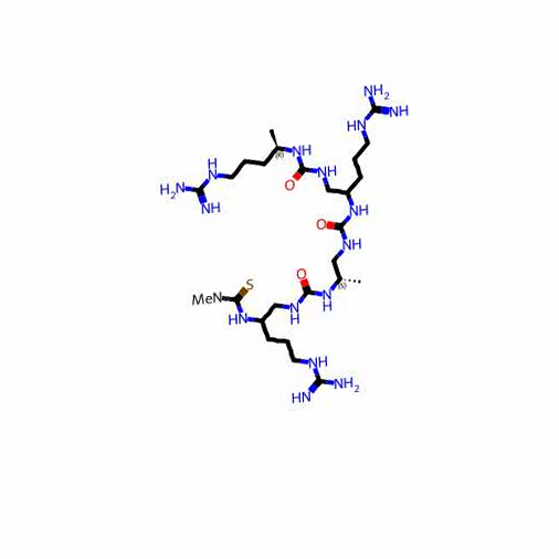 CNC(=S)NC(CCCNC(=N)N)CNC(=O)N[C@@H](C)CNC(=O)NC(CCCNC(=N)N)CNC(=O)N[C@H](C)CCCNC(=N)N